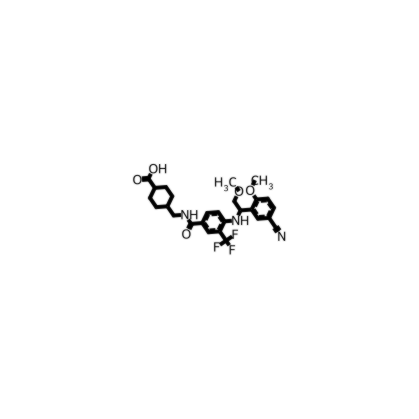 COCC(Nc1ccc(C(=O)NCC2CCC(C(=O)O)CC2)cc1C(F)(F)F)c1cc(C#N)ccc1OC